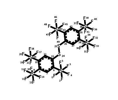 FS(F)(F)(F)(F)c1cc(S(F)(F)(F)(F)F)c(S(F)(F)(F)(F)F)cc1SSc1cc(S(F)(F)(F)(F)F)c(S(F)(F)(F)(F)F)cc1S(F)(F)(F)(F)F